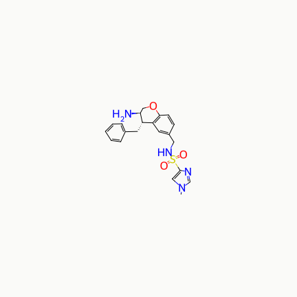 Cn1cnc(S(=O)(=O)NCc2ccc3c(c2)[C@H](Cc2ccccc2)[C@@H](N)CO3)c1